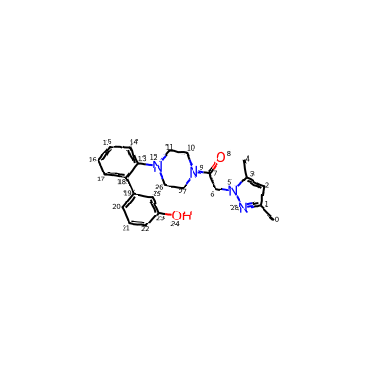 Cc1cc(C)n(CC(=O)N2CCN(c3ccccc3-c3cccc(O)c3)CC2)n1